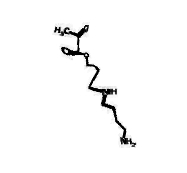 CC(=O)C(=O)OCCCNCCCCN